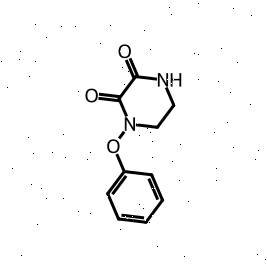 O=C1NCCN(Oc2ccccc2)C1=O